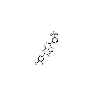 CS(=O)(=O)c1cccc(C(=O)N2CCC[C@@H]2C(=O)NC(c2ccc(Cl)c(F)c2)C2CC2)c1